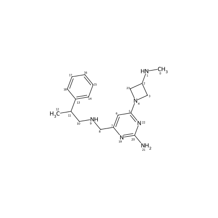 CNC1CN(c2cc(CNCC(C)c3ccccc3)nc(N)n2)C1